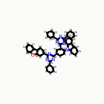 c1ccc(-c2nc(-c3ccc(-n4c5ccccc5c5ccccc54)c(-c4nc(-c5ccccc5)nc(-c5ccccc5)n4)c3)nc(-c3ccc4c(c3)oc3ccccc34)n2)cc1